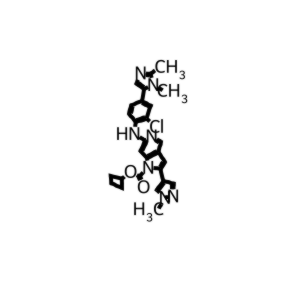 Cc1ncc(-c2ccc(Nc3cc4c(cn3)cc(-c3cnn(C)c3)n4C(=O)OC3CCC3)c(Cl)c2)n1C